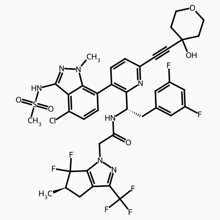 C[C@@H]1Cc2c(C(F)(F)F)nn(CC(=O)N[C@@H](Cc3cc(F)cc(F)c3)c3nc(C#CC4(O)CCOCC4)ccc3-c3ccc(Cl)c4c(NS(C)(=O)=O)nn(C)c34)c2C1(F)F